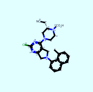 Cc1cccc2cccc(N3Cc4nc(Cl)nc(N5CCN(C(=O)O)[C@@H](CC#N)C5)c4C3)c12